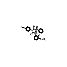 Cc1c([AsH2])cccc1NC(=O)N(NS(=O)(=O)c1ccccc1)c1ccc(C#N)cc1